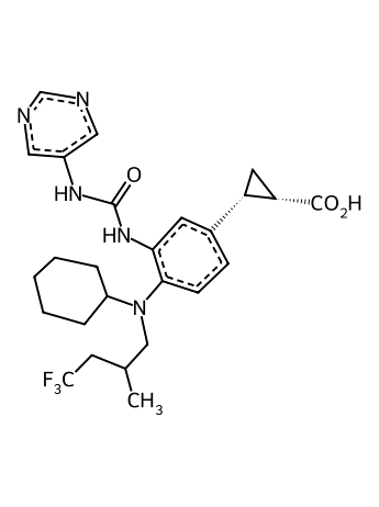 CC(CN(c1ccc([C@@H]2C[C@@H]2C(=O)O)cc1NC(=O)Nc1cncnc1)C1CCCCC1)CC(F)(F)F